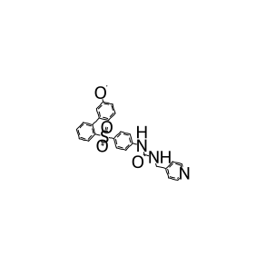 COc1cccc(-c2ccccc2S(=O)(=O)c2ccc(NC(=O)NCc3ccncc3)cc2)c1